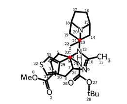 COC(=O)N1CCC2C(C1)N=C(C)N2C1CC2CCC(C1)N2CC[C@H](NC(=O)OC(C)(C)C)c1ccsc1